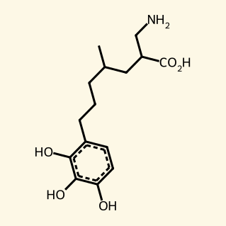 CC(CCCc1ccc(O)c(O)c1O)CC(CN)C(=O)O